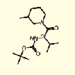 CC1CCCN(C(=O)[C@@H](NC(=O)OC(C)(C)C)C(C)C)C1